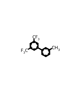 Cc1cccc(-c2cc(C(F)(F)F)cc(C(F)(F)F)c2)c1